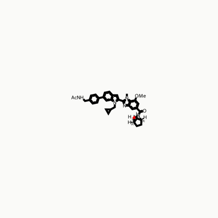 COc1cc(C(=O)N2C[C@H]3CC[C@@H]2[C@@H]3N)cc2nc(-c3cc4ccc(-c5ccc(CNC(C)=O)cc5)cc4n3CC3CC3)n(C)c12